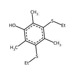 CCSc1c(C)c(O)c(C)c(SCC)c1C